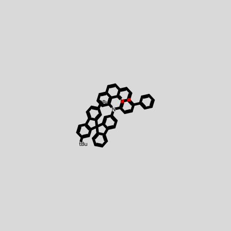 CC(C)(C)c1ccc2c(c1)C1(c3ccccc3-c3ccc(N(c4ccc(-c5ccccc5)cc4)c4cccc5ccc6cccnc6c45)cc31)c1cc(C(C)(C)C)ccc1-2